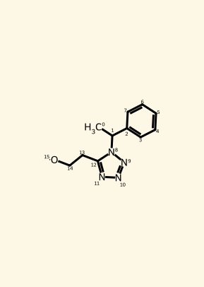 CC(c1ccccc1)n1nnnc1CC[O]